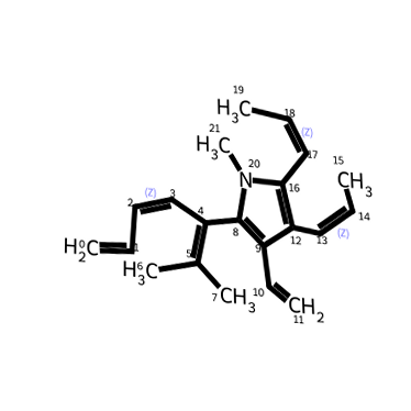 C=C/C=C\C(=C(C)C)c1c(C=C)c(/C=C\C)c(/C=C\C)n1C